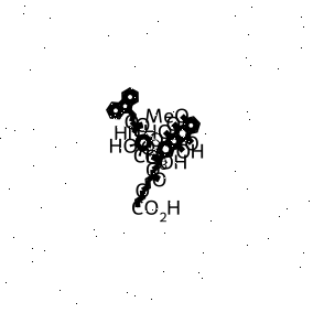 COc1cccc2c1C(=O)c1c(O)c3c(c(O)c1C2=O)C[C@@](O)(C(=O)COC(=O)CCOCCC(=O)O)C[C@@H]3O[C@H]1C[C@H](NC(=O)OCC2c3ccccc3-c3ccccc32)[C@H](O)[C@H](C)O1